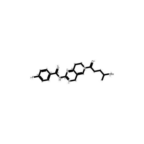 CCCCC(C)CCC(=O)N1C=C2CN=C(NC(=O)c3ccc(F)cc3)N=C2CC1